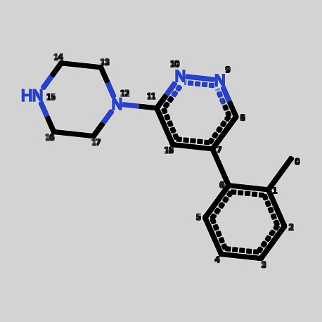 Cc1ccccc1-c1cnnc(N2CCNCC2)c1